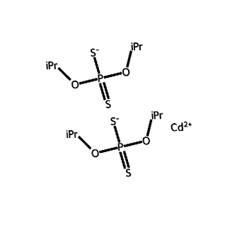 CC(C)OP(=S)([S-])OC(C)C.CC(C)OP(=S)([S-])OC(C)C.[Cd+2]